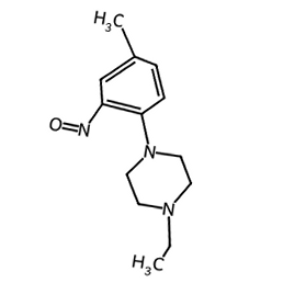 CCN1CCN(c2ccc(C)cc2N=O)CC1